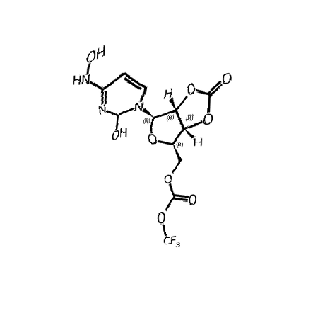 O=C1O[C@@H]2[C@H](O1)[C@@H](COC(=O)OC(F)(F)F)O[C@H]2N1C=CC(NO)=NC1O